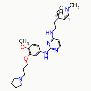 C=N/C=C\C(=C/C)CCNc1ccnc(Nc2ccc(OC)c(OCCCN3CCCC3)c2)n1